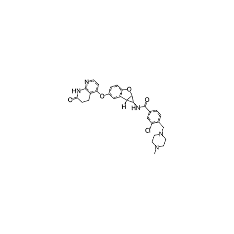 CN1CCN(Cc2ccc(C(=O)N[C@@H]3C4Oc5ccc(Oc6ccnc7c6CCC(=O)N7)cc5[C@H]43)cc2Cl)CC1